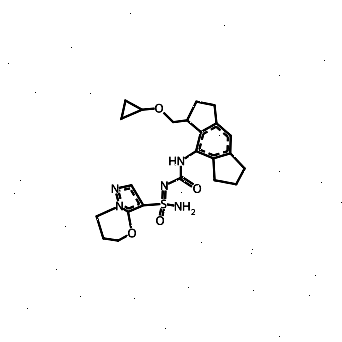 NS(=O)(=NC(=O)Nc1c2c(cc3c1C(COC1CC1)CC3)CCC2)c1cnn2c1OCCC2